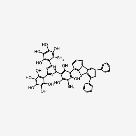 Bc1c(O)c(-c2nc(-c3c(B)c(O)c(O)c(O)c3O)nc(-c3c(O)c(O)c(O)c(O)c3O)n2)c(O)c(-c2cccc3c2sc2c(-c4ccccc4)cc(-c4ccccc4)cc23)c1O